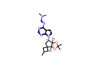 CC1CC2(C1)C[C@@H](n1ccc3c(/N=C/N(C)C)ncnc31)[C@@H]1OC(C)(C)O[C@@H]12